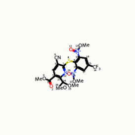 COC(=O)c1cc(C#N)c(Sc2c([N+](=O)OC)cc(C(F)(F)F)cc2[N+](=O)OC)nc1C(OC)OC